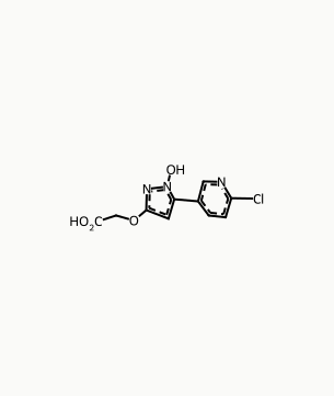 O=C(O)COc1cc(-c2ccc(Cl)nc2)n(O)n1